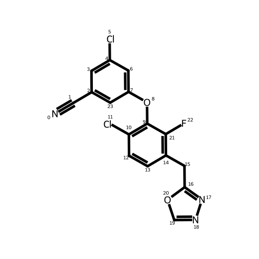 N#Cc1cc(Cl)cc(Oc2c(Cl)ccc(Cc3nnco3)c2F)c1